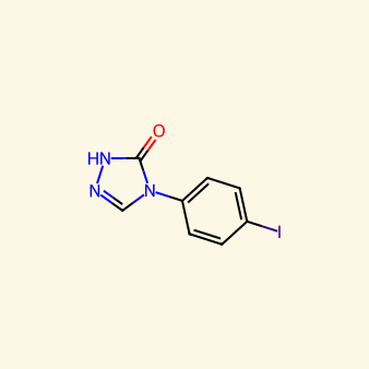 O=c1[nH]ncn1-c1ccc(I)cc1